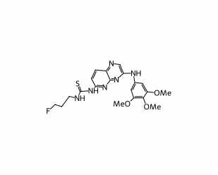 COc1cc(Nc2cnc3ccc(NC(=S)NCCCF)nc3n2)cc(OC)c1OC